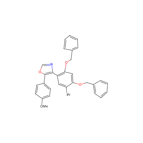 COc1ccc(-c2ocnc2-c2cc(C(C)C)c(OCc3ccccc3)cc2OCc2ccccc2)cc1